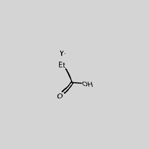 CCC(=O)O.[Y]